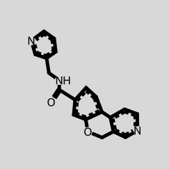 O=C(NCc1cccnc1)c1ccc2c(c1)OCc1cnccc1-2